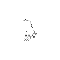 CCCCCCCCCCCCCCCCCC(=O)OC(=O)C(N)CC(=O)[O-].[K+]